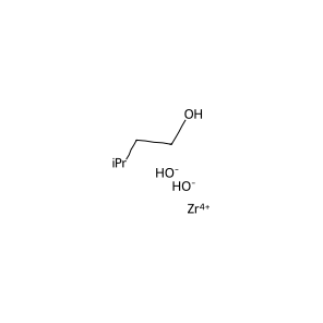 CC(C)CCO.[OH-].[OH-].[Zr+4]